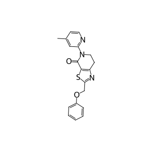 Cc1ccnc(N2CCc3nc(COc4ccccc4)sc3C2=O)c1